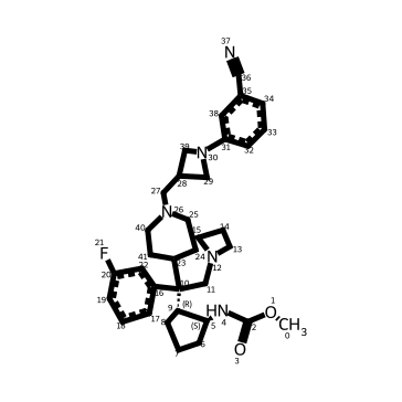 COC(=O)N[C@H]1CCC[C@@H]1C(CN1CCC1)(c1cccc(F)c1)C1CCN(CC2CN(c3cccc(C#N)c3)C2)CC1